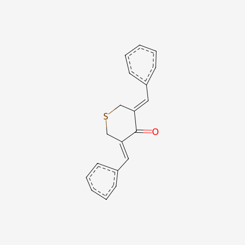 O=C1/C(=C/c2ccccc2)CSC/C1=C\c1ccccc1